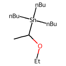 CCC[CH2][Sn]([CH2]CCC)([CH2]CCC)[CH](C)OCC